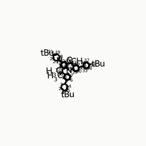 CC(C)(C)C1=CCC(c2ccc3c(c2)C(C)(C)c2cc(C4=CC=C(C(C)(C)C)CC4)cc4c2N3c2ccc(-c3ccc(C(C)(C)C)cc3)cc2C4(C)C)C=C1